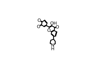 O=C1C=CC(c2oc3cc(C4CCNCC4)ccc3c(=O)c2O)=CC1=O